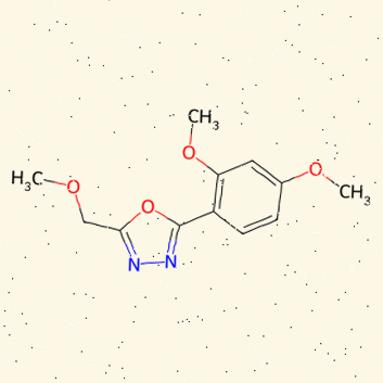 COCc1nnc(-c2ccc(OC)cc2OC)o1